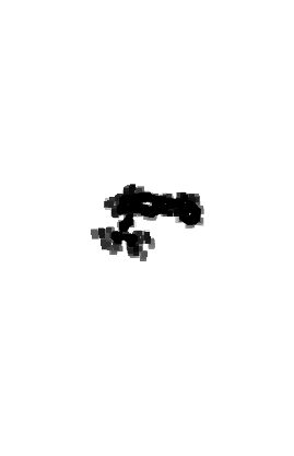 CC(C)N(CCN1C(=O)C(C)(C)c2cc3nc(-c4n[nH]c5ccccc45)[nH]c3cc21)C(C)C